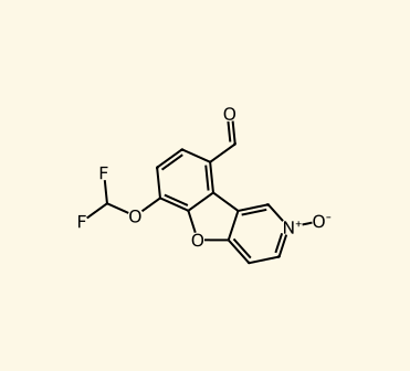 O=Cc1ccc(OC(F)F)c2oc3cc[n+]([O-])cc3c12